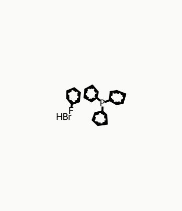 Br.Fc1ccccc1.c1ccc(P(c2ccccc2)c2ccccc2)cc1